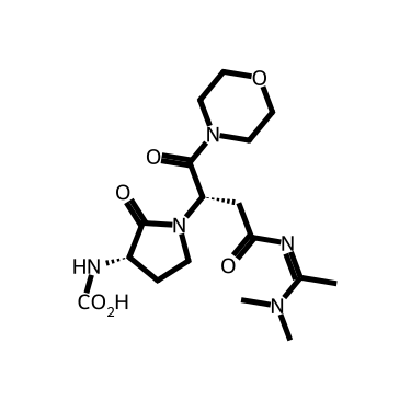 CC(=NC(=O)C[C@@H](C(=O)N1CCOCC1)N1CC[C@H](NC(=O)O)C1=O)N(C)C